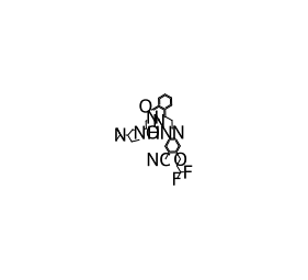 CN(C)C1CCN(C(=O)Cn2nc(Cc3nc4cc(OCC(F)F)c(C#N)cc4[nH]3)c3ccccc3c2=O)C1